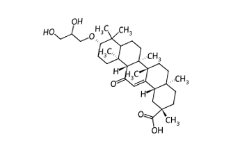 CC1(C)C2CC[C@]3(C)[C@H](C(=O)C=C4[C@H]5C[C@@](C)(C(=O)O)CC[C@]5(C)CC[C@]43C)[C@@]2(C)CC[C@@H]1OCC(O)CO